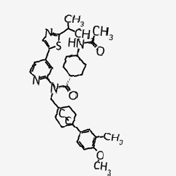 COc1ccc(C23CCC(CN(c4cc(-c5cnc(C(C)C)s5)ccn4)C(=O)[C@H]4CC[C@H](NC(C)=O)CC4)(CC2)CC3)cc1C